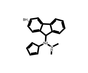 B.C[SiH](C)[Nd]([CH]1C=CC=C1)[CH]1c2ccccc2-c2ccccc21